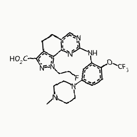 CN1CCN(c2ccc(OC(F)(F)F)c(Nc3ncc4c(n3)-c3c(c(C(=O)O)nn3CCF)CC4)c2)CC1